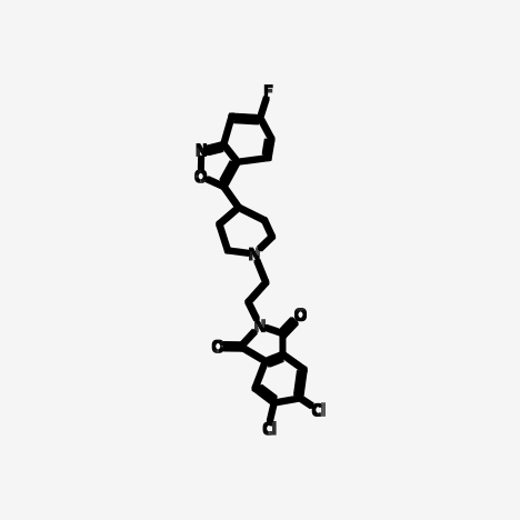 O=C1c2cc(Cl)c(Cl)cc2C(=O)N1CCN1CCC(c2onc3cc(F)ccc23)CC1